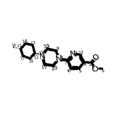 COC(=O)c1ccc(N2CCN([C@H]3CC[C@@H](C)CC3)CC2)nc1